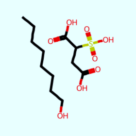 CCCCCCCCO.O=C(O)CC(C(=O)O)S(=O)(=O)O